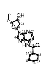 CC[C@H]1O[C@@H](n2cnc3c(NC(=O)c4ccccc4)ncnc32)C[C@H]1O